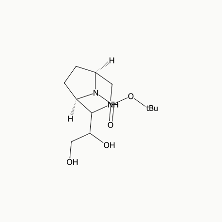 CC(C)(C)OC(=O)N1[C@H]2CC[C@@H]1C(C(O)CO)NC2